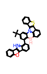 CC(C)(C)c1cc(-c2cccc3c2[nH]c2c4ccccc4oc32)c2c(c1)-n1c3c(cccc3c3sc4ccccc4c31)B2